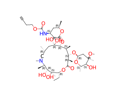 C#CCCOC(=O)N[C@H]1C[C@@H](C)O[C@@H](O[C@@H]2[C@@H](C)[C@H](O[C@H]3C[C@@](C)(OC)[C@@H](O)[C@H](C)O3)[C@@H](C)C(=O)O[C@H](CC)[C@@](C)(O)[C@H](O)[C@@H](C)N(C)C[C@H](C)C[C@@]2(C)O)[C@@H]1O